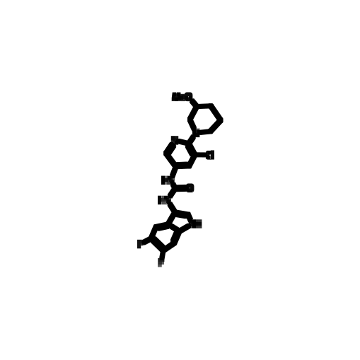 COC1CCCN(c2ncc(NC(=O)Nc3c[nH]c4cc(F)c(F)cc34)cc2Cl)C1